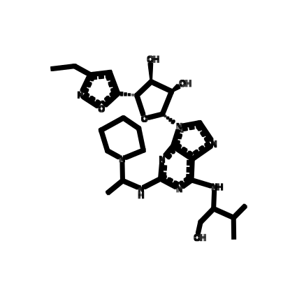 CCc1cc([C@H]2O[C@@H](n3cnc4c(NC(CO)C(C)C)nc(NC(C)N5CCCCC5)nc43)[C@H](O)[C@@H]2O)on1